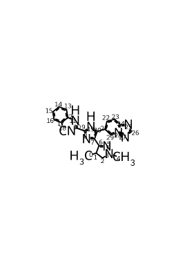 CC1CN(C)N=C1c1nc(CNc2ccccc2C#N)[nH]c1-c1ccc2ncnn2c1